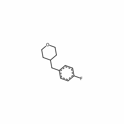 Fc1ccc(CC2CCOCC2)cc1